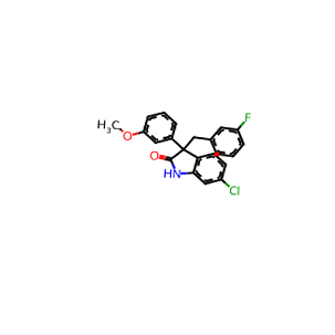 COc1cccc(C2(Cc3cccc(F)c3)C(=O)Nc3cc(Cl)ccc32)c1